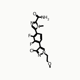 COCCn1cc(-c2ccc(-c3cnc(C(N)=O)n3C)c(F)c2F)c(Cl)n1